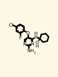 Nc1ncc(Oc2ccc(Cl)cc2F)c(NC2(O)CCCCC2)n1